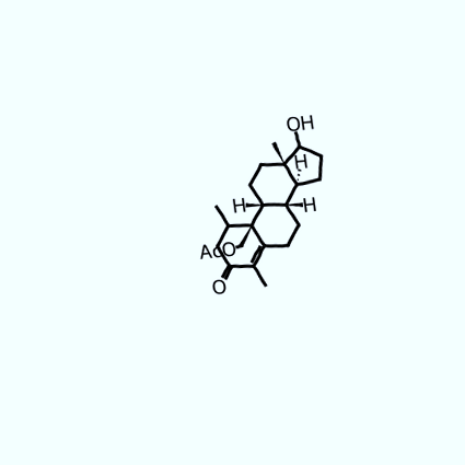 CC(=O)OC[C@@]12C(=C(C)C(=O)CC1C)CC[C@@H]1[C@H]2CC[C@]2(C)C(O)CC[C@@H]12